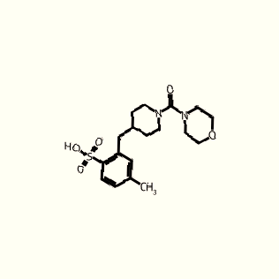 Cc1ccc(S(=O)(=O)O)c(CC2CCN(C(=O)N3CCOCC3)CC2)c1